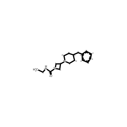 CCNC(=O)N1CC(N2CCC(Cc3ccccc3)CC2)C1